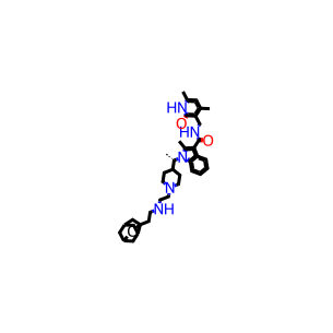 Cc1cc(C)c(CNC(=O)c2c(C)n([C@@H](C)C3CCN(CCNCCC45CC6CC(CC4C6)C5)CC3)c3ccccc23)c(=O)[nH]1